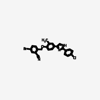 Cc1cc(-c2c[nH]c(-c3ccc(Cl)cc3)n2)ccc1OCc1ccc(Br)cc1C#N